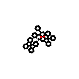 c1ccc(-c2ccccc2-c2ccccc2N(c2ccc3c(c2)-c2ccccc2C3(c2ccccc2)c2ccccc2)c2ccc3c(c2)C2(c4ccccc4-c4ccccc42)c2ccccc2-3)cc1